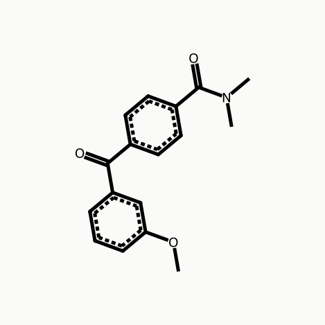 COc1cccc(C(=O)c2ccc(C(=O)N(C)C)cc2)c1